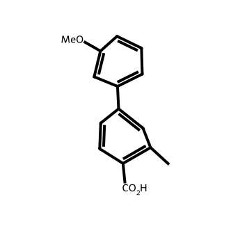 COc1cccc(-c2ccc(C(=O)O)c(C)c2)c1